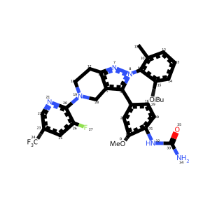 COc1cc(-c2c3c(nn2-c2c(C)cccc2OCC(C)C)CCN(c2ncc(C(F)(F)F)cc2F)C3)ccc1NC(N)=O